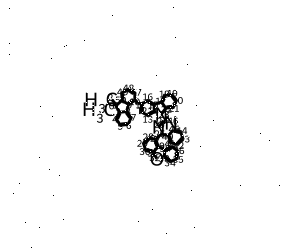 CC1(C)c2ccccc2-c2c(-c3ccc4c(c3)c3ccccc3n4-c3nc(-c4cccc5oc6ccccc6c45)c4ccccc4n3)cccc21